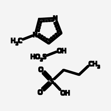 CCCS(=O)(=O)O.Cn1ccnc1.O=S(=O)(O)O